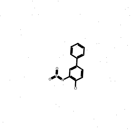 O=S(=O)=Nc1cc(-c2ccccc2)ccc1Cl